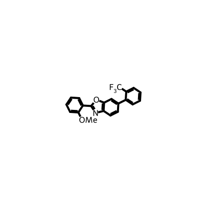 COc1ccccc1-c1nc2ccc(-c3ccccc3C(F)(F)F)cc2o1